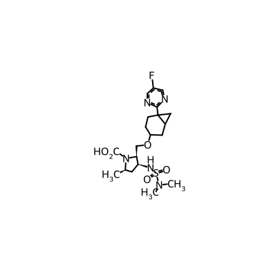 C[C@@H]1C[C@H](NS(=O)(=O)N(C)C)[C@H](COC2CCC3(c4ncc(F)cn4)CC3C2)N1C(=O)O